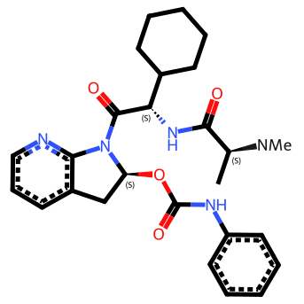 CN[C@@H](C)C(=O)N[C@H](C(=O)N1c2ncccc2C[C@@H]1OC(=O)Nc1ccccc1)C1CCCCC1